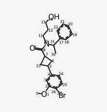 COc1cc(C2CC(C(=O)N(CCCO)C(C)c3ccccc3)C2)ccc1Br